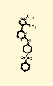 Cn1ncc(-c2ccnc(NC3CCN(S(=O)(=O)c4ccccc4)CC3)n2)c1N